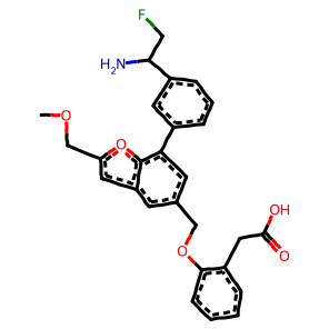 COCc1cc2cc(COc3ccccc3CC(=O)O)cc(-c3cccc(C(N)CF)c3)c2o1